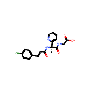 C[C@@](NC(=O)/C=C/c1ccc(Cl)cc1)(C(=O)NCC(=O)O)c1ccccn1